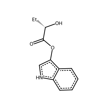 CC[C@H](O)C(=O)Oc1c[nH]c2ccccc12